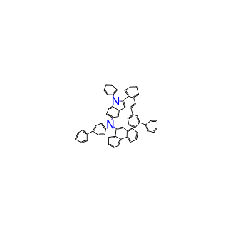 c1ccc(-c2ccc(N(c3ccc4c(c3)c3c(-c5cccc(-c6ccccc6)c5)cc5ccccc5c3n4-c3ccccc3)c3cc4ccccc4c4ccccc34)cc2)cc1